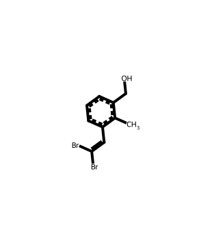 Cc1c(C=C(Br)Br)cccc1CO